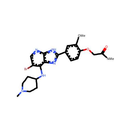 CNC(=O)COc1ccc(-c2nc3c(NC4CCN(C)CC4)c(Br)cnc3[nH]2)cc1OC